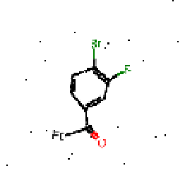 CCC(=O)c1ccc(Br)c(F)c1